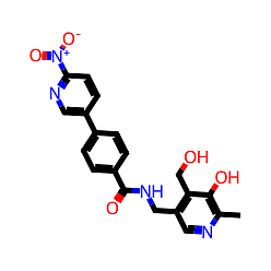 Cc1ncc(CNC(=O)c2ccc(-c3ccc([N+](=O)[O-])nc3)cc2)c(CO)c1O